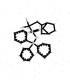 O=S(=O)(OS(c1ccccc1)(c1ccccc1)c1ccccc1)C(F)(F)CC1CC2CCC1C2